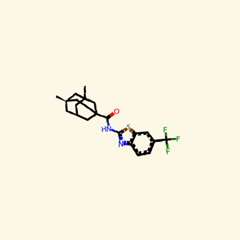 CC12CC3CC(C(=O)Nc4nc5ccc(C(F)(F)F)cc5s4)(C1)C[C@](C)(C3)C2